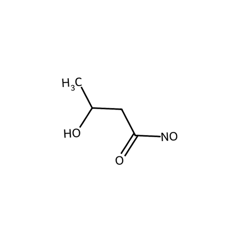 CC(O)CC(=O)N=O